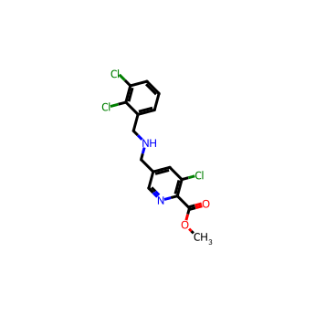 COC(=O)c1ncc(CNCc2cccc(Cl)c2Cl)cc1Cl